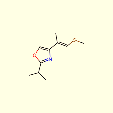 CS/C=C(\C)c1coc(C(C)C)n1